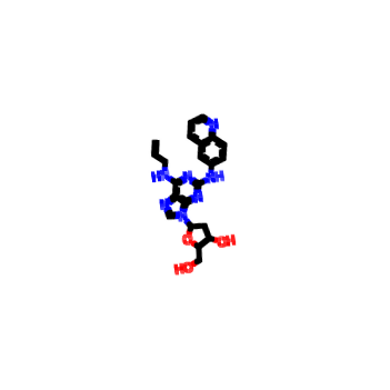 C=CCNc1nc(Nc2ccc3ncccc3c2)nc2c1ncn2C1CC(O)C(CO)O1